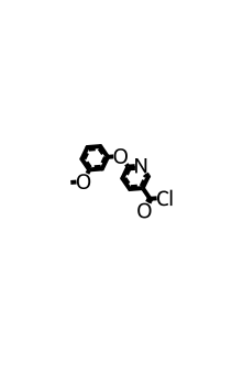 COc1cccc(Oc2ccc(C(=O)Cl)cn2)c1